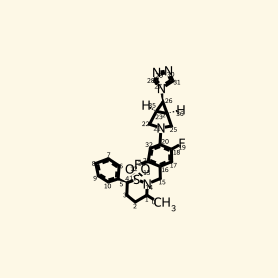 CC1CC[C@@H](c2ccccc2)S(=O)(=O)N1Cc1cc(F)c(N2C[C@@H]3[C@H](C2)[C@@H]3n2cnnc2)cc1F